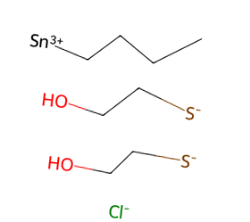 CCC[CH2][Sn+3].OCC[S-].OCC[S-].[Cl-]